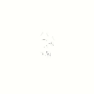 CN1C2CCC1CC(Oc1nccc3ccccc13)C2